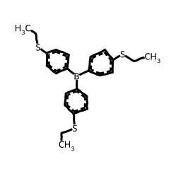 CCSc1ccc(B(c2ccc(SCC)cc2)c2ccc(SCC)cc2)cc1